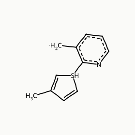 [CH2]c1cccnc1[SH]1C=CC(C)=C1